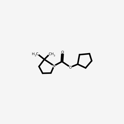 CC1(C)CCCN1C(=O)OC1CCCC1